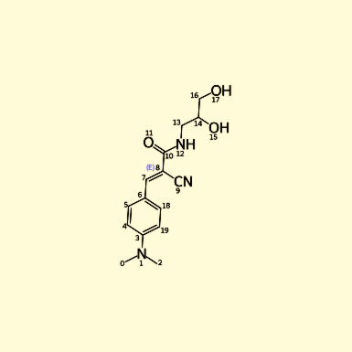 CN(C)c1ccc(/C=C(\C#N)C(=O)NCC(O)CO)cc1